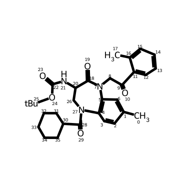 Cc1ccc2c(c1)N(CC(=O)c1ccccc1C)C(=O)C(NC(=O)OC(C)(C)C)CN2C(=O)C1CCCCC1